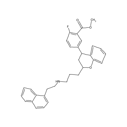 COC(=O)c1cc(C2CC(CCCNCCc3cccc4ccccc34)Oc3ccccc32)ccc1F